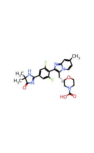 Cc1ccn2c(C[C@H]3CN(C(=O)O)CCO3)c(-c3c(F)cc(C4=NC(=O)C(C)(C)N4)cc3F)nc2c1